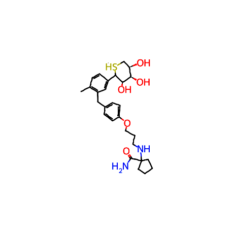 Cc1ccc(C2[C@H](O)[C@H](O)[C@H](O)C[SH]2C)cc1Cc1ccc(OCCCNC2(C(N)=O)CCCC2)cc1